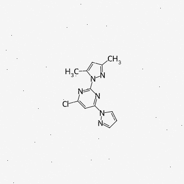 Cc1cc(C)n(-c2nc(Cl)cc(-n3cccn3)n2)n1